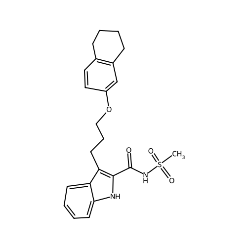 CS(=O)(=O)NC(=O)c1[nH]c2ccccc2c1CCCOc1ccc2c(c1)CCCC2